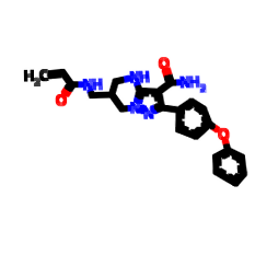 C=CC(=O)NCC1CNc2c(C(N)=O)c(-c3ccc(Oc4ccccc4)cc3)nn2C1